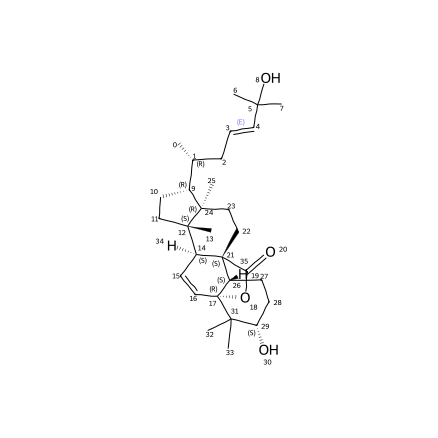 C[C@H](C/C=C/C(C)(C)O)[C@H]1CC[C@@]2(C)[C@@H]3C=C[C@@]45OC(=O)[C@]3(CC[C@]12C)[C@@H]4CC[C@H](O)C5(C)C